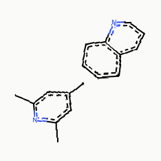 Cc1cc(C)nc(C)c1.c1ccc2ncccc2c1